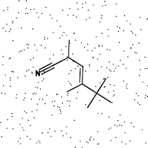 C/C(=C\C(C)C#N)C(C)(C)C